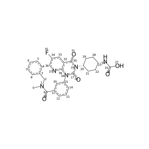 CN(Cc1ccccc1)C(=O)c1cccc(-n2c(=O)n([C@H]3CC[C@@H](NC(=O)O)CC3)c(=O)c3cc(F)cnc32)c1